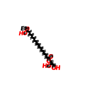 CCO[C@@H](O)CCCCCCCC=CCCCCCCCC(=O)OCC(O)CO